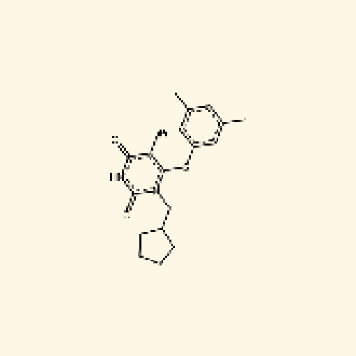 Cc1cc(C)cc(Sc2c(C(C)C)c(=O)[nH]c(=O)n2CC2CCCC2)c1